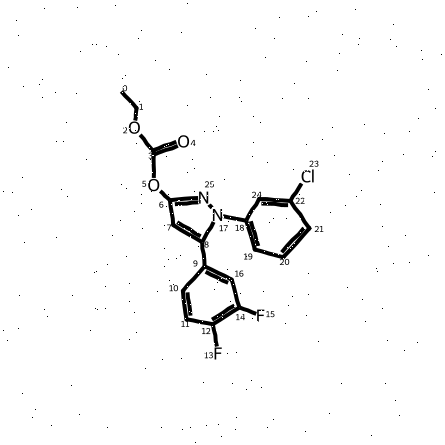 CCOC(=O)Oc1cc(-c2ccc(F)c(F)c2)n(-c2cccc(Cl)c2)n1